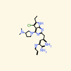 C=C\C=N/C(=C/C(=C\N)Cc1nc(N2CC[C@@H](N(C)C)C2)c2c(Cl)c(CC)[nH]c2n1)C(=C)N